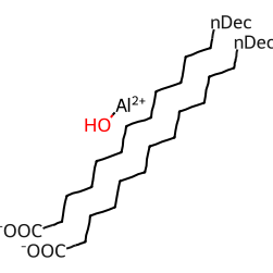 CCCCCCCCCCCCCCCCCCCCCC(=O)[O-].CCCCCCCCCCCCCCCCCCCCCC(=O)[O-].[OH][Al+2]